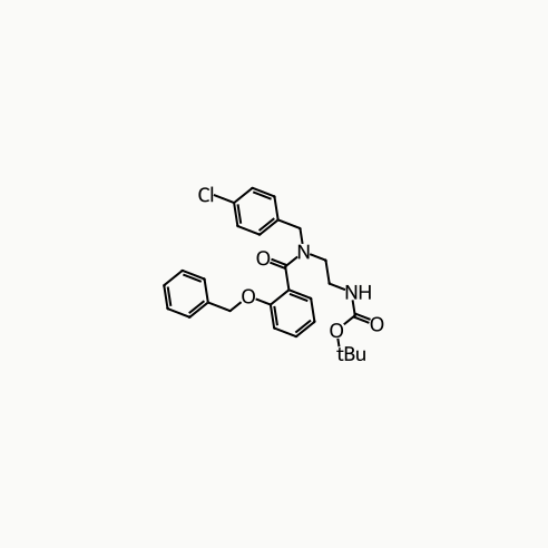 CC(C)(C)OC(=O)NCCN(Cc1ccc(Cl)cc1)C(=O)c1ccccc1OCc1ccccc1